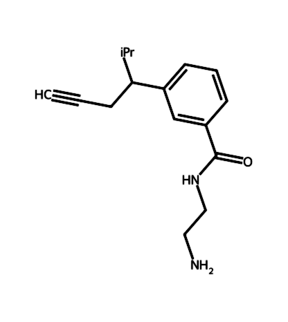 C#CCC(c1cccc(C(=O)NCCN)c1)C(C)C